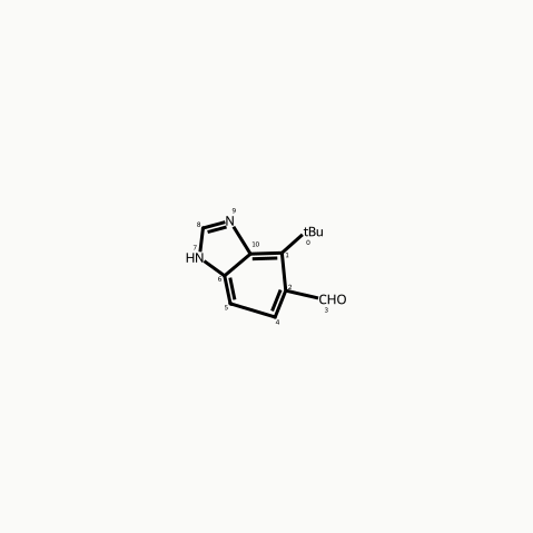 CC(C)(C)c1c(C=O)ccc2[nH]cnc12